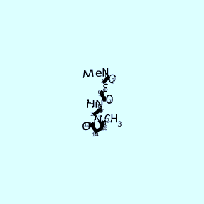 CNC(=O)CSCC(=O)NCCN1C(=O)CC[C@@H]1C